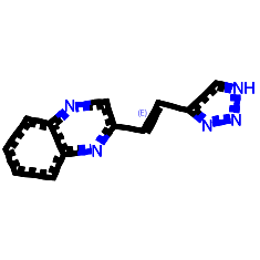 C(=C\c1cnc2ccccc2n1)/c1c[nH]nn1